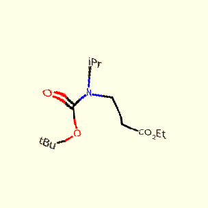 CCOC(=O)CCN(C(=O)OC(C)(C)C)C(C)C